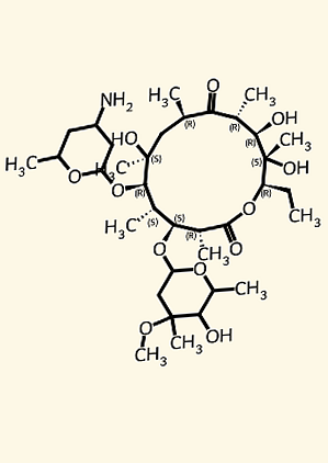 CC[C@H]1OC(=O)[C@H](C)[C@@H](OC2CC(C)(OC)C(O)C(C)O2)[C@H](C)[C@@H](OC2CC(N)CC(C)O2)[C@@](C)(O)C[C@@H](C)C(=O)[C@H](C)[C@@H](O)[C@]1(C)O